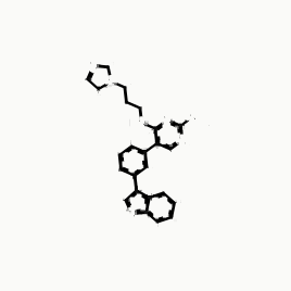 Nc1ncc(-c2cccc(-c3c[nH]c4ccccc34)c2)c(NCCCN2CC=NC2)n1